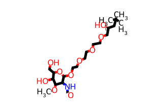 COC1C(O)C(CO)OC(OCCOCCOCCOC[C@@H](O)CC(C)(C)C)C1NC=O